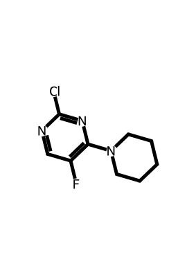 Fc1cnc(Cl)nc1N1CCCCC1